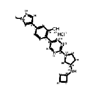 Cl.Cn1cc(-c2ccc(-c3cnc(N4CC[C@@H](NC5CCC5)C4)nn3)c(O)c2)cn1